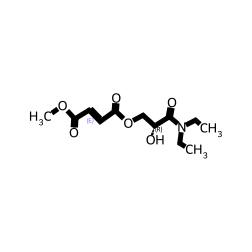 CCN(CC)C(=O)[C@H](O)COC(=O)/C=C/C(=O)OC